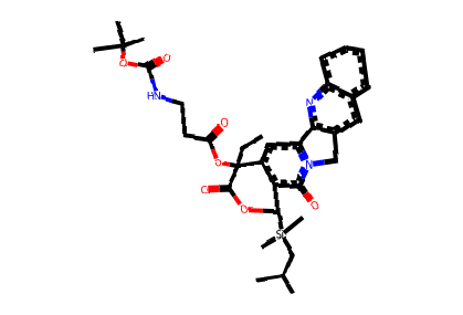 CCC1(OC(=O)CCNC(=O)OC(C)(C)C)C(=O)OC([Si](C)(C)CC(C)C)c2c1cc1n(c2=O)Cc2cc3ccccc3nc2-1